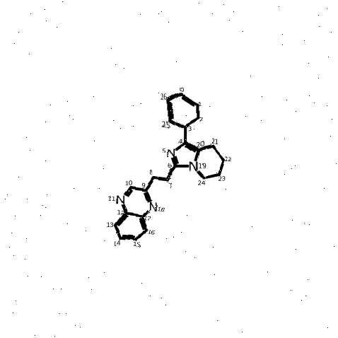 C1=CCC(c2nc(CCc3cnc4ccccc4n3)n3c2CCCC3)C=C1